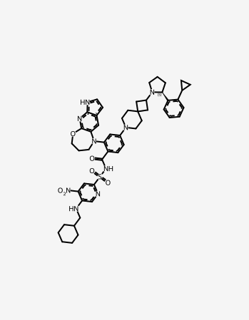 O=C(NS(=O)(=O)c1cc([N+](=O)[O-])c(NCC2CCCCC2)cn1)c1ccc(N2CCC3(CC2)CC(N2CCC[C@H]2c2ccccc2C2CC2)C3)cc1N1CCCOc2nc3[nH]ccc3cc21